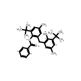 Cc1cc(Cc2cc(C)cc(C(C)(C)C)c2OC(=O)c2ccccc2)c(O)c(C(C)(C)C)c1